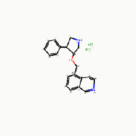 Cl.Cl.c1ccc(C2CNCC2OCc2cccc3cnccc23)cc1